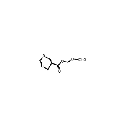 O=[C]OCOC(=O)C1COCOC1